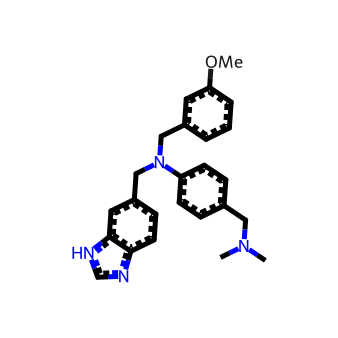 COc1cccc(CN(Cc2ccc3nc[nH]c3c2)c2ccc(CN(C)C)cc2)c1